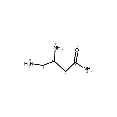 NCC(N)CC(N)=O